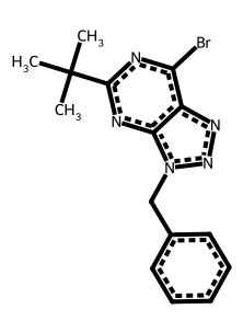 CC(C)(C)c1nc(Br)c2nnn(Cc3ccccc3)c2n1